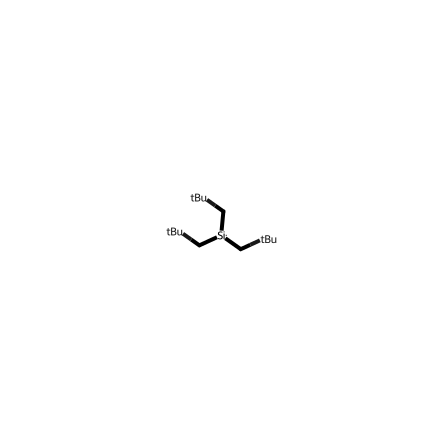 CC(C)(C)C[Si](CC(C)(C)C)CC(C)(C)C